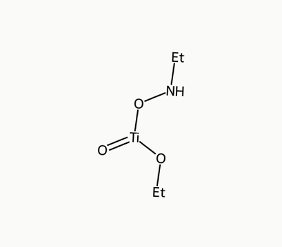 [CH2]CN[O][Ti](=[O])[O]CC